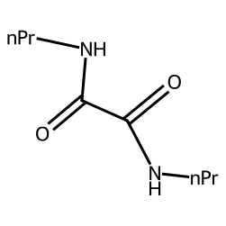 CCCNC(=O)C(=O)NCCC